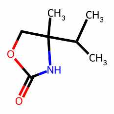 CC(C)C1(C)COC(=O)N1